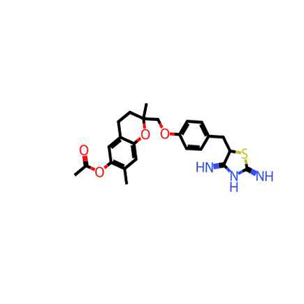 CC(=O)Oc1cc2c(cc1C)OC(C)(COc1ccc(CC3SC(=N)NC3=N)cc1)CC2